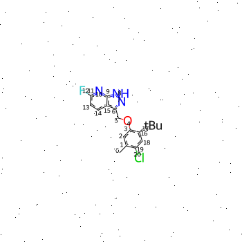 Cc1cc(OCc2n[nH]c3nc(F)ccc23)c(C(C)(C)C)cc1Cl